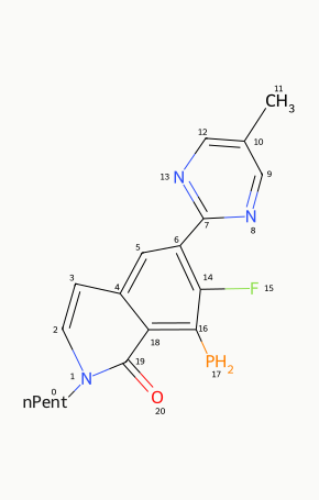 CCCCCn1ccc2cc(-c3ncc(C)cn3)c(F)c(P)c2c1=O